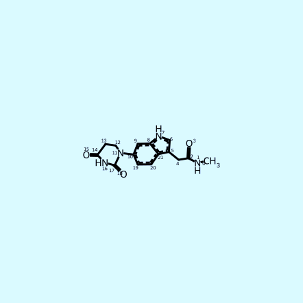 CNC(=O)Cc1c[nH]c2cc(N3CCC(=O)NC3=O)ccc12